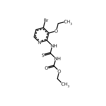 CCOC(=O)NC(=S)Nc1nccc(Br)c1OCC